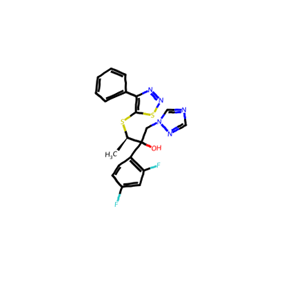 C[C@@H](Sc1snnc1-c1ccccc1)C(O)(Cn1cncn1)c1ccc(F)cc1F